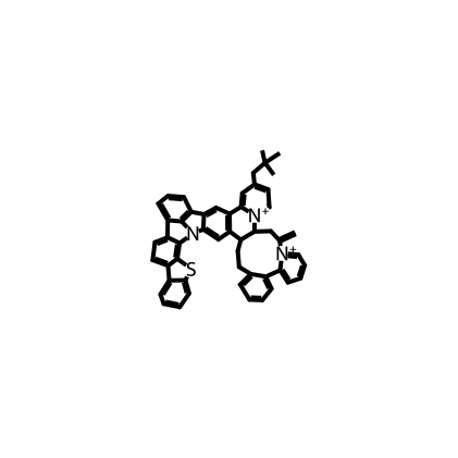 C=C1CC2C(CCc3ccccc3-c3cccc[n+]31)c1cc3c(cc1-c1cc(CC(C)(C)C)cc[n+]12)c1cccc2c4ccc5c6ccccc6sc5c4n3c12